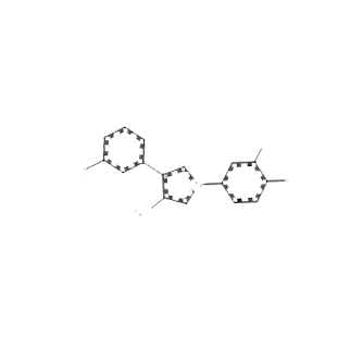 N#Cc1cn(-c2ccc(C(=O)O)c(O)c2)cc1-c1cccc(Cl)c1